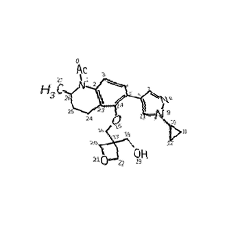 CC(=O)N1c2ccc(-c3cnn(C4CC4)c3)c(OCC3(CO)COC3)c2CCC1C